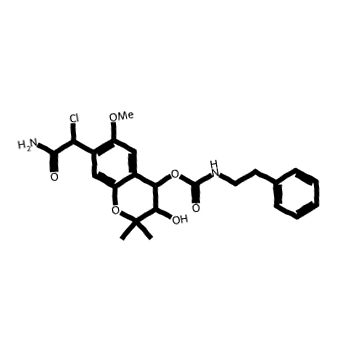 COc1cc2c(cc1C(Cl)C(N)=O)OC(C)(C)C(O)C2OC(=O)NCCc1ccccc1